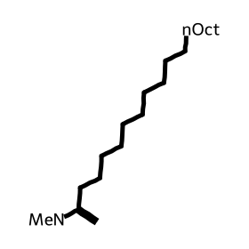 C=C(CCCCCCCCCCCCCCCCCC)NC